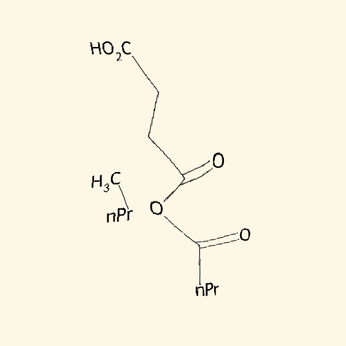 CCCC.CCCC(=O)OC(=O)CCC(=O)O